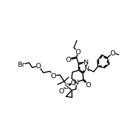 CCOC(=O)c1nn(Cc2ccc(OC)cc2)c2c1CCN(CC1(S(=O)(=O)C(C)(C)COCCOCCBr)CC1)C2=O